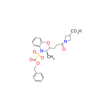 C[C@@H]1C(CCC(=O)N2CC(C(=O)O)C2)Oc2ccccc2N1S(=O)(=O)C(=O)OCc1ccccc1